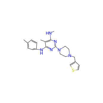 CNc1nc(N2CCN(Cc3ccsc3)CC2)nc(Nc2ccc(C)cc2)c1C